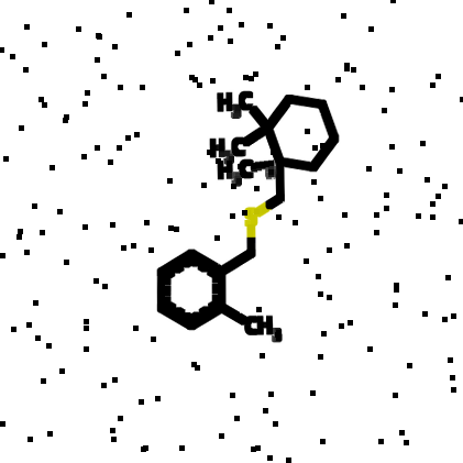 Cc1ccccc1CSC[C@]1(C)CCCCC1(C)C